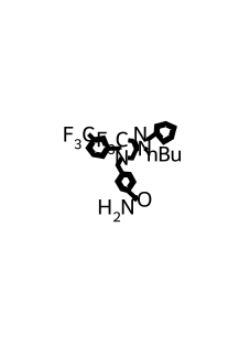 CCCCn1c(-c2ccccc2)nc(C(F)(F)F)c1CN(Cc1ccc(C(N)=O)cc1)Cc1cccc(C(F)(F)F)c1